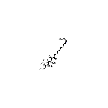 CCCCCCCC/C=C\CCCCCCCC(=O)C(=O)[C@H](O)[C@@H](O)[C@H](O)[C@@H](O)CO